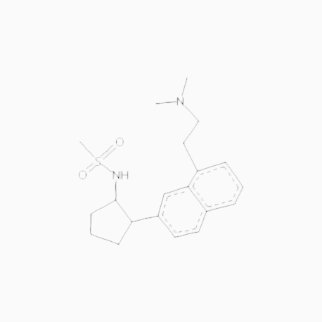 CN(C)CCc1cccc2ccc(C3CCCC3NS(C)(=O)=O)cc12